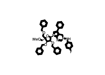 COC[C@]1(COCc2ccccc2)O[C@@H](n2cc(-c3ccccc3)c3c2N=CN(Nc2ccc(F)cc2)C3)[C@@H](OCc2ccccc2)[C@H]1OCc1ccccc1